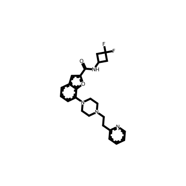 O=C(NC1CC(F)(F)C1)c1cc2cccc(N3CCN(CCc4ccccn4)CC3)c2o1